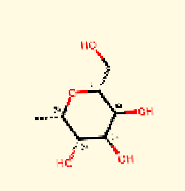 C[C@@H]1O[C@H](CO)[C@@H](O)[C@@H](O)[C@@H]1O